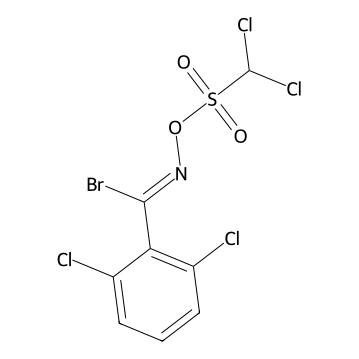 O=S(=O)(ON=C(Br)c1c(Cl)cccc1Cl)C(Cl)Cl